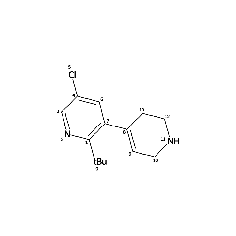 CC(C)(C)c1ncc(Cl)cc1C1=CCNCC1